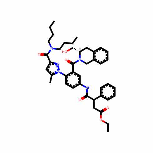 CCCCN(CCCC)C(=O)c1cc(C)n(-c2ccc(NC(=O)C(CC(=O)OCC)c3ccccc3)cc2C(=O)N2Cc3ccccc3C[C@H]2CO)n1